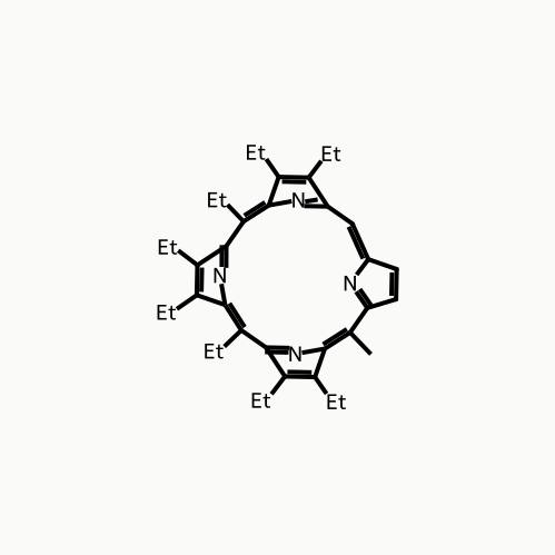 CCC1=C(CC)C2=C(CC)C3=NC(=C(CC)C4=NC(=C(C)C5=NC(=CC1=N2)C=C5)C(CC)=C4CC)C(CC)=C3CC